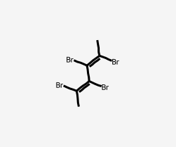 CC(Br)=C(Br)C(Br)=C(C)Br